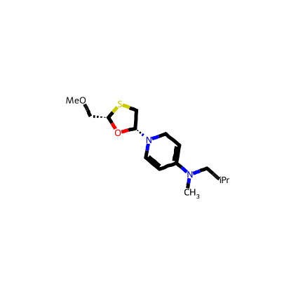 COC[C@H]1O[C@@H](N2C=CC(N(C)CC(C)C)=CC2)CS1